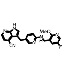 COc1ncc(F)cc1CNc1ccc(Cc2c[nH]c3nccc(C#N)c23)cn1